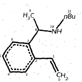 C=Cc1ccccc1C(C)NCCCC